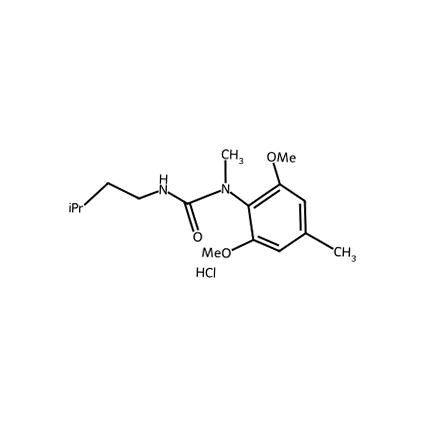 COc1cc(C)cc(OC)c1N(C)C(=O)NCCC(C)C.Cl